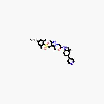 COc1cc(C)c(S(=O)(=O)Cc2c(C)nn(CC(=O)NC3CCC(c4ccncc4)CC3(C)C)c2C)c(C)c1